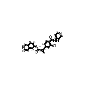 O=C(Nc1ccncc1)c1ccc(C2CC2C(=O)Nc2ccc3cnccc3c2)cc1Cl